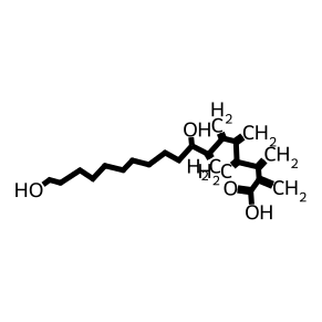 C=C(C(=C)C(=C)C(=C)C(O)CCCCCCCCCCO)C(=C)C(=C)C(=O)O